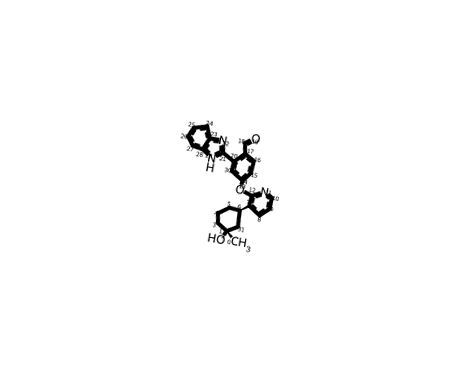 C[C@@]1(O)CCC[C@@H](c2cccnc2Oc2ccc(C=O)c(-c3nc4ccccc4[nH]3)c2)C1